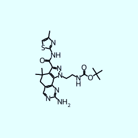 Cc1csc(NC(=O)c2nn(CCNC(=O)OC(C)(C)C)c3c2C(C)(C)Cc2cnc(N)nc2-3)n1